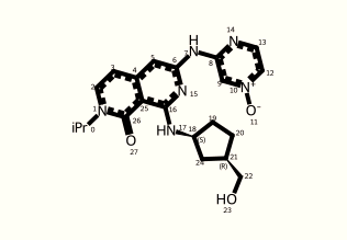 CC(C)n1ccc2cc(Nc3c[n+]([O-])ccn3)nc(N[C@H]3CC[C@@H](CO)C3)c2c1=O